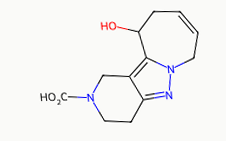 O=C(O)N1CCc2nn3c(c2C1)C(O)CC=CC3